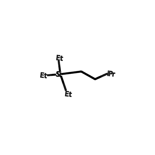 CC[Si](CC)(CC)CCC(C)C